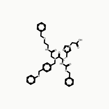 O=C(O)Cn1cnc(C[C@H](NC(=O)OCc2ccccc2)C(=O)N(CC(=O)NCCOCc2ccccc2)Cc2ccc(COc3ccccc3)cc2)c1